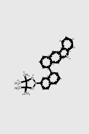 CC1(C)OB(c2ccc3cccc(-c4cccc5cc6c(cc45)oc4ccccc46)c3c2)OC1(C)C